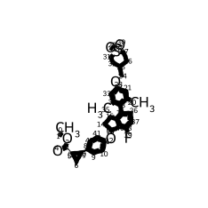 CCOC(=O)[C@H]1C[C@@H]1c1ccc(O[C@@H]2CCc3c(-c4c(C)cc(OCC5CCS(=O)(=O)CC5)cc4C)ccc(F)c32)cc1